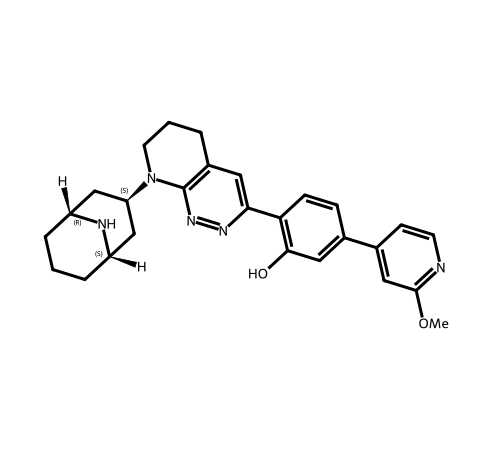 COc1cc(-c2ccc(-c3cc4c(nn3)N([C@@H]3C[C@H]5CCC[C@@H](C3)N5)CCC4)c(O)c2)ccn1